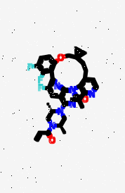 C=CC(=O)N1C[C@H](C)N(c2nc(=O)n3c4nc(c(F)cc24)-c2c(ccc(F)c2F)OCC2(CCc4ccnc(C(C)C)c4-3)CC2)C[C@H]1C